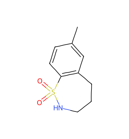 Cc1ccc2c(c1)CCCNS2(=O)=O